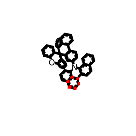 c1ccc(-c2ccc3ccccc3c2N(c2ccc3c(c2)C2(c4ccccc4Oc4ccccc42)c2cccc4cccc-3c24)c2cccc3ccccc23)cc1